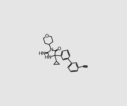 C#Cc1cccc(-c2cccc(C3(C4CC4)NC(=N)N(C4CCOCC4)C3=O)c2)c1